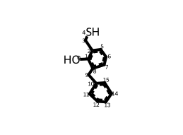 Oc1c(CS)cccc1Cc1ccccc1